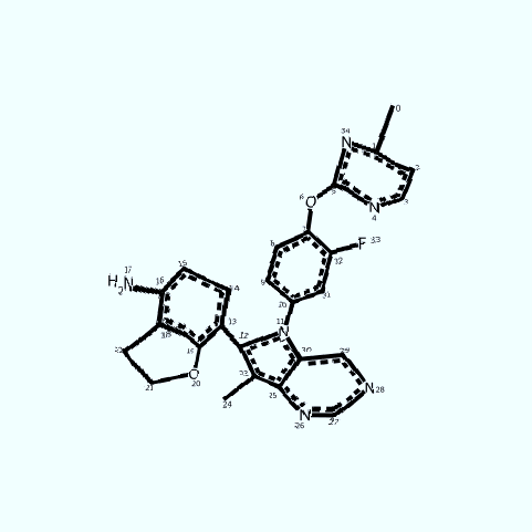 Cc1ccnc(Oc2ccc(-n3c(-c4ccc(N)c5c4OCC5)c(C)c4ncncc43)cc2F)n1